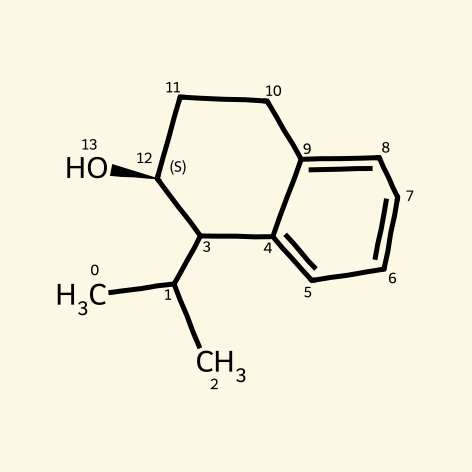 CC(C)C1c2ccccc2CC[C@@H]1O